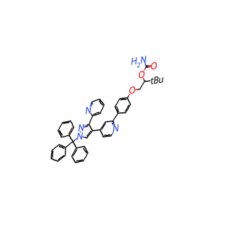 CC(C)(C)C(COc1ccc(-c2cc(-c3cn(C(c4ccccc4)(c4ccccc4)c4ccccc4)nc3-c3ccccn3)ccn2)cc1)OC(N)=O